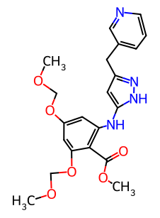 COCOc1cc(Nc2cc(Cc3cccnc3)n[nH]2)c(C(=O)OC)c(OCOC)c1